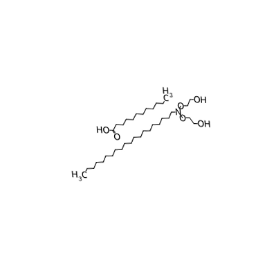 CCCCCCCCCCCC(=O)O.CCCCCCCCCCCCCCCCCCCCN(OCCO)OCCO